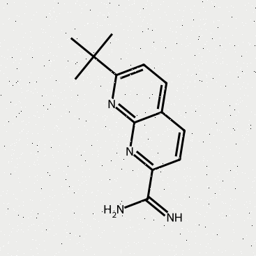 CC(C)(C)c1ccc2ccc(C(=N)N)nc2n1